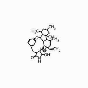 C=CC1(C)C=C(C)C2C3C(Oc4ccc(cc4)CC4C(=O)NC(O)C4C(=O)C31)C1C(C)CC(C)CC21C